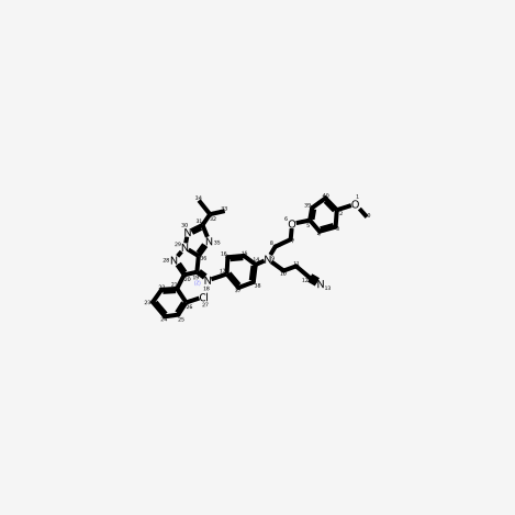 COc1ccc(OCCN(CCC#N)c2ccc(/N=C3/C(c4ccccc4Cl)=Nn4nc(C(C)C)nc43)cc2)cc1